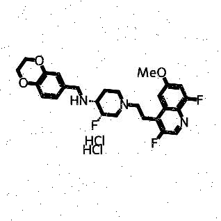 COc1cc(F)c2ncc(F)c(CCN3CC[C@@H](NCc4ccc5c(c4)OCCO5)[C@@H](F)C3)c2c1.Cl.Cl